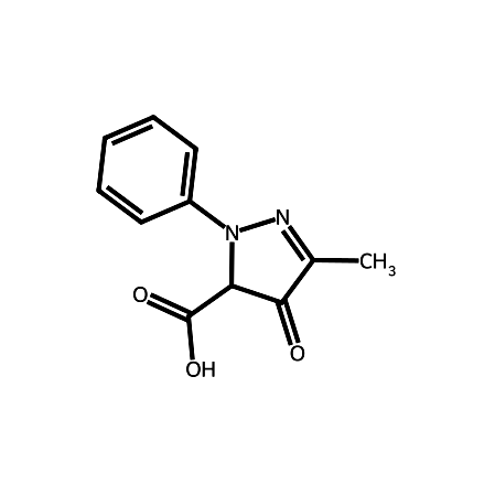 CC1=NN(c2ccccc2)C(C(=O)O)C1=O